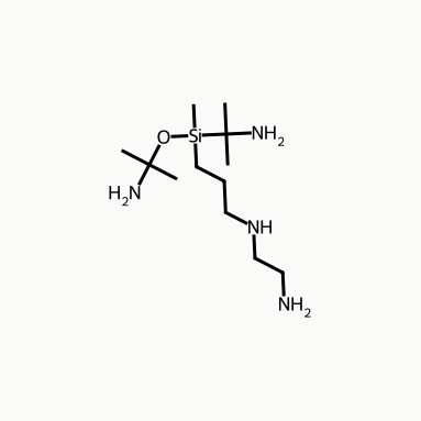 CC(C)(N)O[Si](C)(CCCNCCN)C(C)(C)N